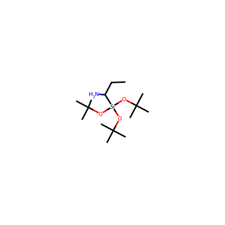 CCC(N)[Si](OC(C)(C)C)(OC(C)(C)C)OC(C)(C)C